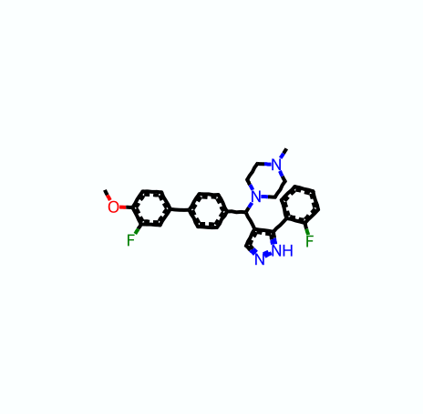 COc1ccc(-c2ccc(C(c3cn[nH]c3-c3ccccc3F)N3CCN(C)CC3)cc2)cc1F